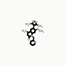 COc1cc2c(cc1-c1c(C)noc1C)c(C)cc(=O)n2Cc1ccccn1